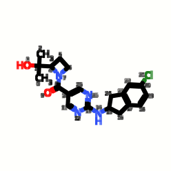 CC(C)(O)C1CCN1C(=O)c1cnc(NC2Cc3ccc(Cl)cc3C2)nc1